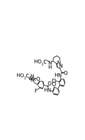 COc1cc(C(=O)Nc2cccc(-c3cccc(NC(=O)c4cc5n(n4)CCCC5NCC(=O)O)c3Cl)c2Cl)cc(F)c1CNCC(=O)O